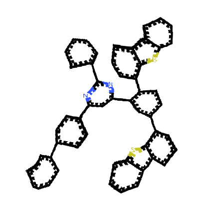 c1ccc(-c2ccc(-c3cc(-c4cc(-c5cccc6c5sc5ccccc56)ccc4-c4cccc5c4sc4ccccc45)nc(-c4ccccc4)n3)cc2)cc1